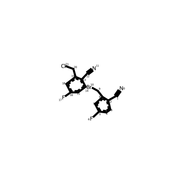 N#Cc1ccc(F)cc1CBr.N#Cc1ccc(F)cc1CCl